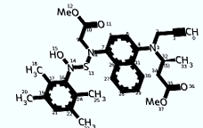 C#CCN(c1ccc(N(CC(=O)OC)SN(O)c2c(C)c(C)cc(C)c2C)c2ccccc12)[C@@H](C)CC(=O)OC